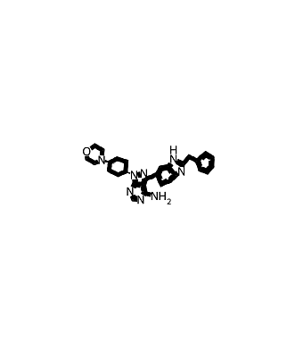 Nc1ncnc2c1c(-c1ccc3nc(Cc4ccccc4)[nH]c3c1)nn2[C@H]1CC[C@H](N2CCOCC2)CC1